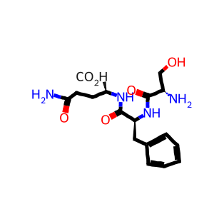 NC(=O)CC[C@H](NC(=O)[C@H](Cc1ccccc1)NC(=O)[C@@H](N)CO)C(=O)O